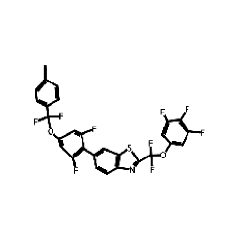 Cc1ccc(C(F)(F)Oc2cc(F)c(-c3ccc4nc(C(F)(F)Oc5cc(F)c(F)c(F)c5)sc4c3)c(F)c2)cc1